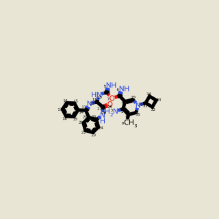 CC1=C(N)C(C(=N)OC(=N)NC2N=C(c3ccccc3)c3ccccc3NC2=O)=CN(C2CCC2)C1